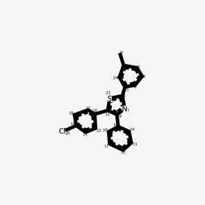 Cc1cccc(-c2nc(-c3ccccc3)c(-c3ccc(Cl)cc3)s2)c1